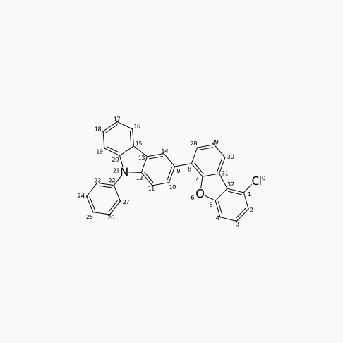 Clc1cccc2oc3c(-c4ccc5c(c4)c4ccccc4n5-c4ccccc4)cccc3c12